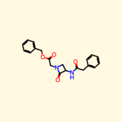 O=C(Cc1ccccc1)NC1CN(CC(=O)OCc2ccccc2)C1=O